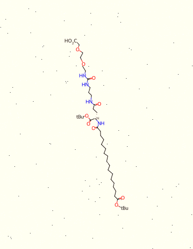 CC(C)(C)OC(=O)CCCCCCCCCCCCCCCCC(=O)N[C@@H](CCC(=O)NCCCNC(=O)NCCOCCOCC(=O)O)C(=O)OC(C)(C)C